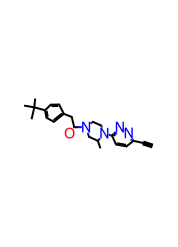 C#Cc1ccc(N2CCN(C(=O)Cc3ccc(C(C)(C)C)cc3)CC2C)nn1